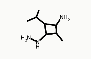 CC(C)C1C(N)C(C)C1NN